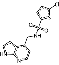 O=S(=O)(NCc1ccnc2[nH]ccc12)c1ccc(Cl)s1